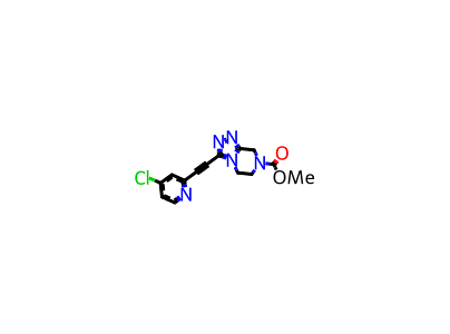 COC(=O)N1CCn2c(C#Cc3cc(Cl)ccn3)nnc2C1